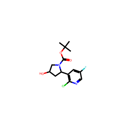 CC(C)(C)OC(=O)N1CC(O)CC1c1cc(F)cnc1Cl